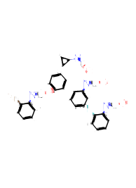 O=C=N[C@@H]1C[C@H]1c1ccccc1.O=C=Nc1ccccc1.O=C=Nc1ccccc1Br.O=C=Nc1ccccc1F